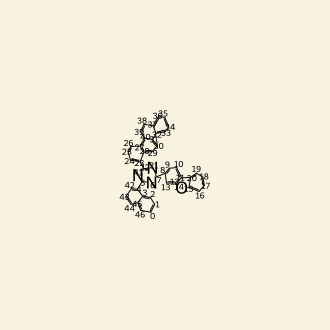 c1ccc2c(-c3nc(-c4ccc5c(c4)oc4ccccc45)nc(-c4cccc5c4ccc4c6ccccc6ccc54)n3)cccc2c1